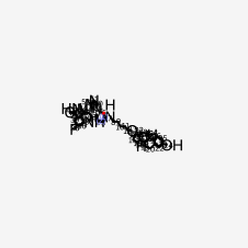 C=C(/C=C\C(=C/C)NCCCCCO[C@H]1CC[C@H]2[C@@H]3CCc4cc(O)ccc4[C@H]3CC[C@]12C)[C@H]1Nc2cc(F)cc3c(=O)[nH]nc(c23)[C@@H]1c1ncnn1C